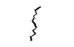 C=C[CH]CC=CCCCC=C